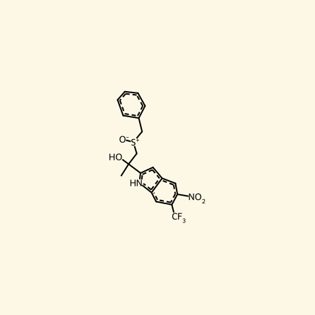 CC(O)(C[S+]([O-])Cc1ccccc1)c1cc2cc([N+](=O)[O-])c(C(F)(F)F)cc2[nH]1